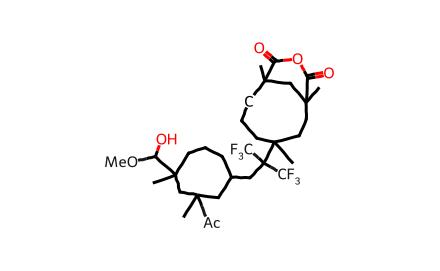 COC(O)C1(C)CCCC(CC(C(F)(F)F)(C(F)(F)F)C2(C)CCCC3(C)CC(C)(CC2)C(=O)OC3=O)CC(C)(C(C)=O)C1